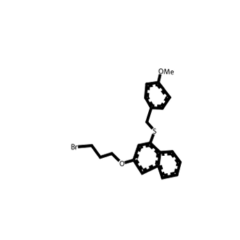 COc1ccc(CSc2cc(OCCCBr)cc3ccccc23)cc1